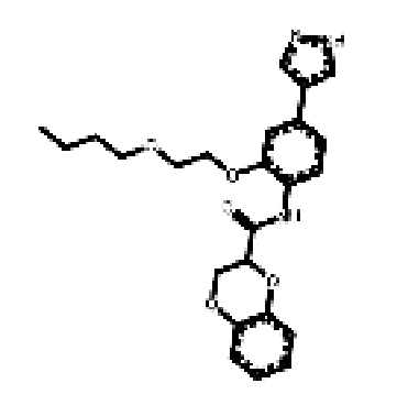 CCCCOCCOc1cc(-c2cn[nH]c2)ccc1NC(=O)C1COc2ccccc2O1